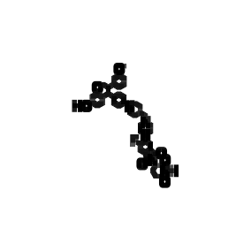 COc1cccc(C2COc3cc(O)ccc3C2c2ccc(N3CCC(CN4CCN(c5cc6c(cc5F)C(=O)N(C5CCC(=O)NC5=O)C6=O)CC4)CC3)cc2)c1